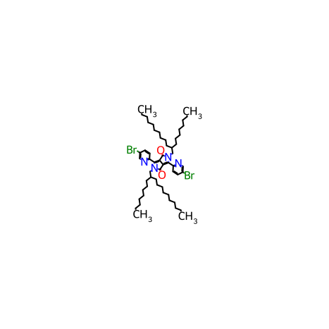 CCCCCCCCCCC(CCCCCCCC)CN1C(=O)C2=C(c3ccc(Br)cn3)N(CC(CCCCCCCC)CCCCCCCCCC)C(=O)C2=C1c1ccc(Br)cn1